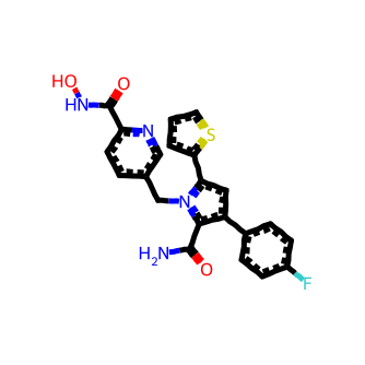 NC(=O)c1c(-c2ccc(F)cc2)cc(-c2cccs2)n1Cc1ccc(C(=O)NO)nc1